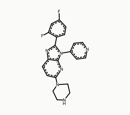 Fc1ccc(-c2nc3ccc(N4CCNCC4)nc3n2-c2ccncc2)c(F)c1